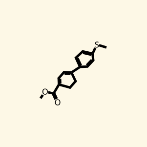 COC(=O)C1=CC=C(c2ccc(SC)cc2)CC1